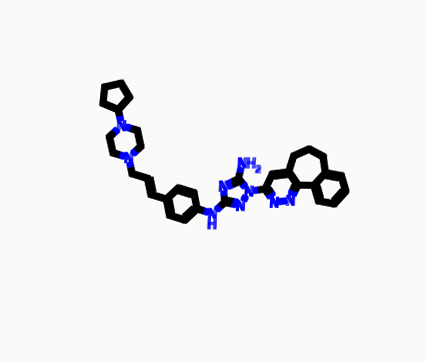 Nc1nc(Nc2ccc(C=CCN3CCN(C4CCCC4)CC3)cc2)nn1-c1cc2c(nn1)-c1ccccc1CCC2